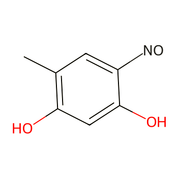 Cc1cc(N=O)c(O)cc1O